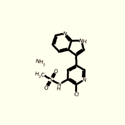 CS(=O)(=O)Nc1cc(-c2c[nH]c3ncccc23)cnc1Cl.N